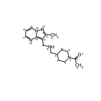 CC(=O)N1CCC(CNCc2c(C)nn3cccnc23)CC1